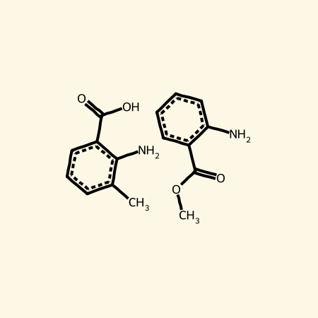 COC(=O)c1ccccc1N.Cc1cccc(C(=O)O)c1N